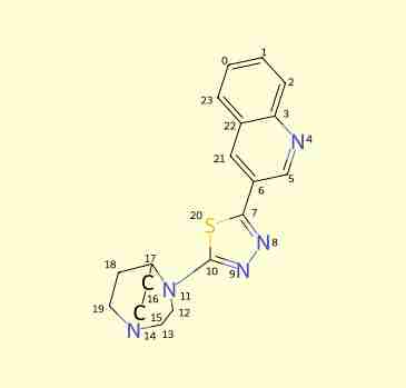 c1ccc2ncc(-c3nnc(N4CCN5CCC4CC5)s3)cc2c1